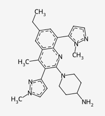 CCc1cc(-c2ccnn2C)c2nc(N3CCC(N)CC3)c(-c3ccn(C)n3)c(C)c2c1